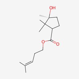 CC(C)=CCCOC(=O)C1CC[C@](C)(O)C1(C)C